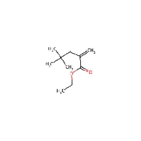 C=C(CC(C)(C)C)C(=O)OCC